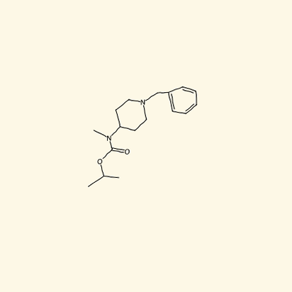 CC(C)OC(=O)N(C)C1CCN(Cc2ccccc2)CC1